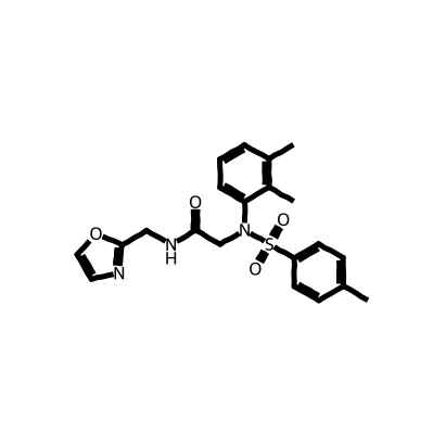 Cc1ccc(S(=O)(=O)N(CC(=O)NCc2ncco2)c2cccc(C)c2C)cc1